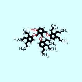 CCCc1ccc(OCc2ccc(O)c(COc3ccc(CCC)c(CCC)c3CCC)c2COc2ccc(CCC)c(CCC)c2CCC)c(CCC)c1CCC